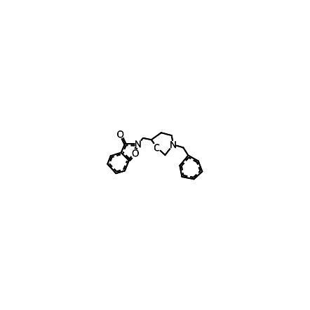 O=c1c2ccccc2on1CC1CCN(Cc2ccccc2)CC1